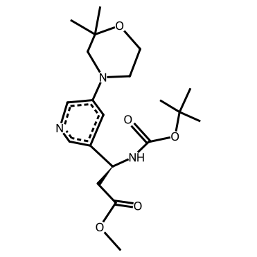 COC(=O)C[C@H](NC(=O)OC(C)(C)C)c1cncc(N2CCOC(C)(C)C2)c1